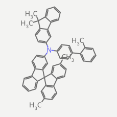 Cc1ccc2c(c1)C1(c3ccccc3-c3ccc(N(c4ccc(-c5ccccc5C)cc4)c4ccc5c(c4)-c4ccccc4C5(C)C)cc31)c1cc(C)ccc1-2